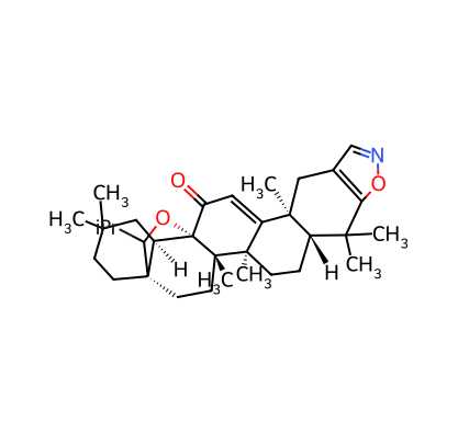 CC(C)C1O[C@]23C(=O)C=C4[C@@]5(C)Cc6cnoc6C(C)(C)[C@@H]5CC[C@@]4(C)[C@]2(C)CC[C@]12CCC(C)(C)C[C@H]23